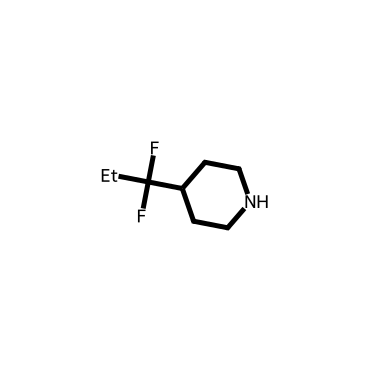 CCC(F)(F)C1CCNCC1